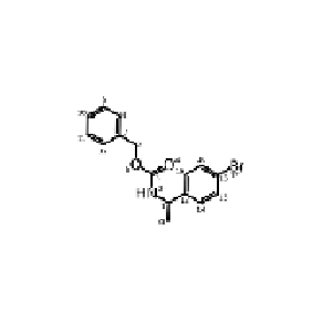 C[C@@H](NC(=O)OCc1ccccc1)c1ccc(Br)cc1